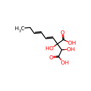 CCC=CC=CC(O)(C(=O)O)C(O)C(=O)O